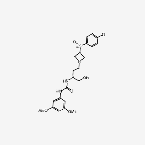 COc1cc(NC(=O)NC(CO)CCN2CC([S@+]([O-])c3ccc(Cl)cc3)C2)cc(OC)c1